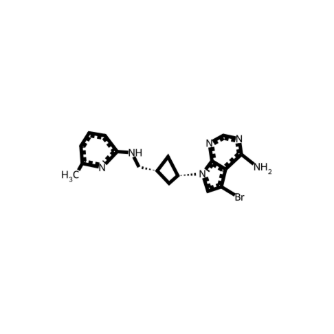 Cc1cccc(NC[C@H]2C[C@@H](n3cc(Br)c4c(N)ncnc43)C2)n1